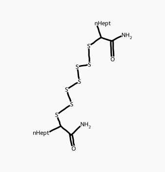 CCCCCCCC(SSSSSSSC(CCCCCCC)C(N)=O)C(N)=O